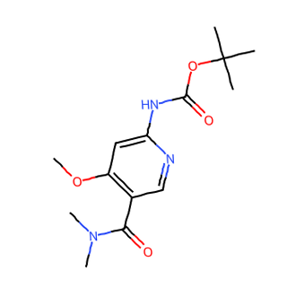 COc1cc(NC(=O)OC(C)(C)C)ncc1C(=O)N(C)C